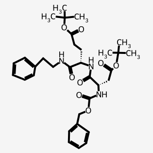 CC(C)(C)OC(=O)CC[C@H](NC(=O)[C@H](CC(=O)OC(C)(C)C)NC(=O)OCc1ccccc1)C(=O)NCCc1ccccc1